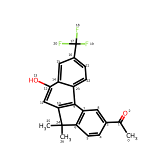 CC(=O)c1ccc2c(c1)-c1c(cc(O)c3cc(C(F)(F)F)ccc13)C2(C)C